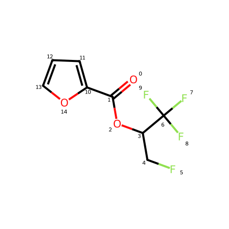 O=C(OC(CF)C(F)(F)F)c1ccco1